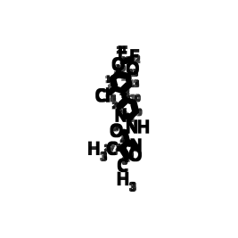 Cc1onc(C(=O)Nc2ccc(-c3cc4c(cc3Cl)OC(F)(F)O4)cn2)c1C